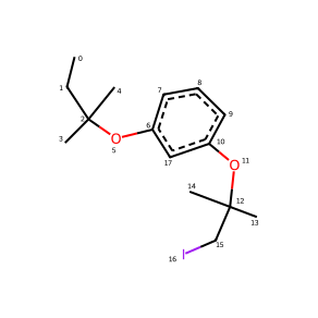 CCC(C)(C)Oc1cccc(OC(C)(C)CI)c1